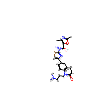 Cc1nc(C)c(C(=O)Nc2nc(-c3ccc4c(c3)CCC(=O)N4CCCN(C)C)cs2)o1